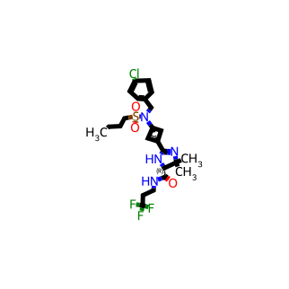 CCCCS(=O)(=O)N(Cc1ccc(Cl)cc1)C12CC(C3=NC(C)(C)[C@H](C(=O)NCCC(F)(F)F)N3)(C1)C2